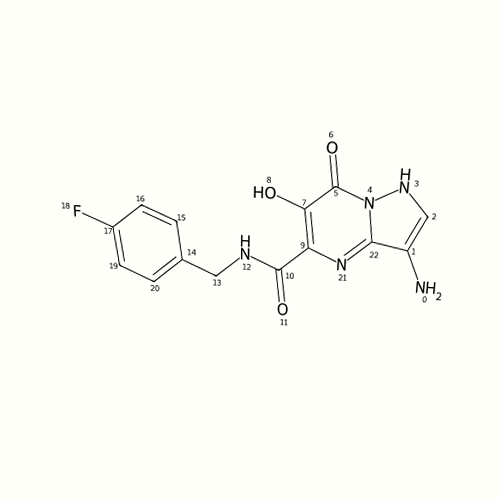 Nc1c[nH]n2c(=O)c(O)c(C(=O)NCc3ccc(F)cc3)nc12